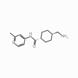 Cc1cc(NC(=O)[C@H]2CC[C@H](CN)CC2)ccn1